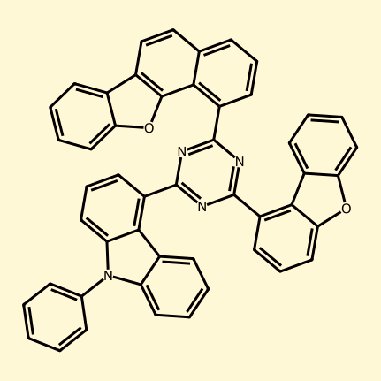 c1ccc(-n2c3ccccc3c3c(-c4nc(-c5cccc6oc7ccccc7c56)nc(-c5cccc6ccc7c8ccccc8oc7c56)n4)cccc32)cc1